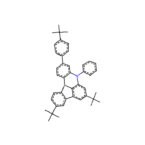 CC(C)(C)c1ccc(-c2ccc3c(c2)N(c2ccccc2)c2cc(C(C)(C)C)cc4c2B3c2ccc(C(C)(C)C)cc2-4)cc1